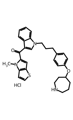 Cl.Cn1c(C(=O)c2cn(CCCc3ccc(OC4CCCNCC4)cc3)c3ccccc23)cc2sccc21